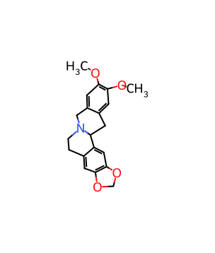 COc1cc2c(cc1OC)CN1CCc3cc4c(cc3C1C2)OCO4